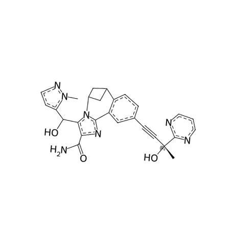 Cn1nccc1C(O)c1c(C(N)=O)nc2n1C1CC(C1)c1ccc(C#C[C@@](C)(O)c3ncccn3)cc1-2